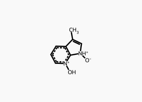 CC1=C[NH+]([O-])c2c1ccc[n+]2O